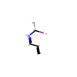 C=C/C=N\[C@H](C)I